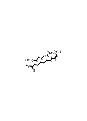 CCCCCCCC/C=C\CCCCCCCC(N)=O.CCCCCCCCCCCCCCCC(=O)O